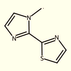 [CH2]n1ccnc1-c1nccs1